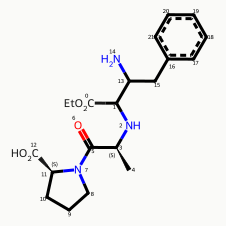 CCOC(=O)C(N[C@@H](C)C(=O)N1CCC[C@H]1C(=O)O)C(N)Cc1ccccc1